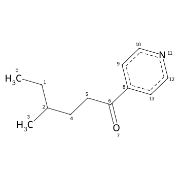 CCC(C)CCC(=O)c1ccncc1